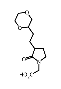 O=C(O)CN1CCC(CCC2COCCO2)C1=O